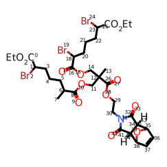 CCOC(=O)C(Br)CCCC(C)C(=O)OCC(C)(COC(=O)C(Br)CCCC(Br)C(=O)OCC)C(=O)OCCN1C(=O)[C@@H]2C3C=CC(O3)[C@@H]2C1=O